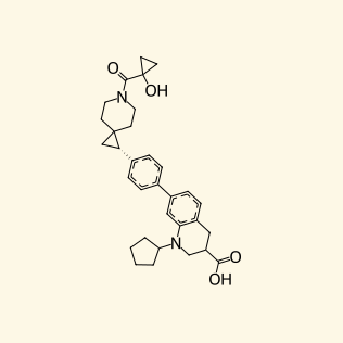 O=C(O)C1Cc2ccc(-c3ccc([C@@H]4CC45CCN(C(=O)C4(O)CC4)CC5)cc3)cc2N(C2CCCC2)C1